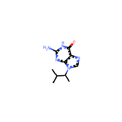 CC(C)C(C)n1cnc2c(=O)[nH]c(N)nc21